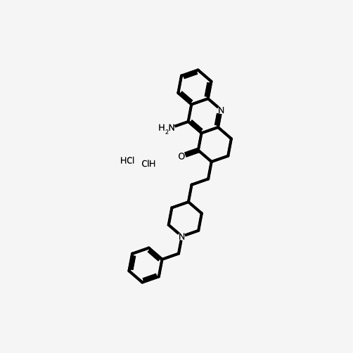 Cl.Cl.Nc1c2c(nc3ccccc13)CCC(CCC1CCN(Cc3ccccc3)CC1)C2=O